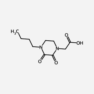 CCCCN1CCN(CC(=O)O)C(=O)C1=O